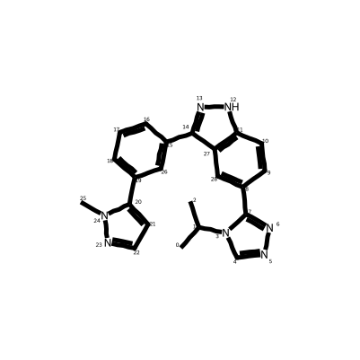 CC(C)n1cnnc1-c1ccc2[nH]nc(-c3cccc(-c4ccnn4C)c3)c2c1